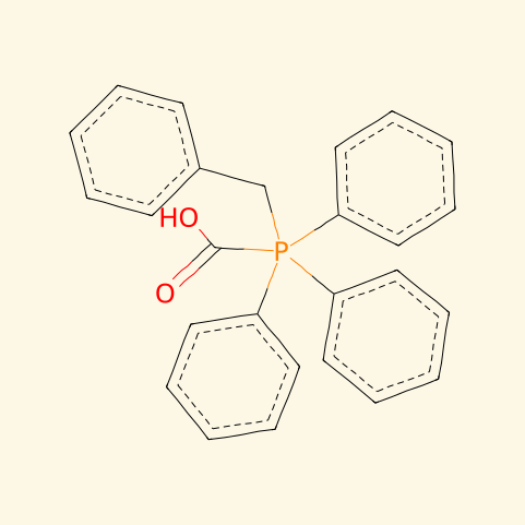 O=C(O)P(Cc1ccccc1)(c1ccccc1)(c1ccccc1)c1ccccc1